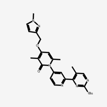 Cc1cnc(C(C)(C)C)nc1-c1cc(-n2c(C)cc(OCc3ccn(C)n3)c(C)c2=O)ccn1